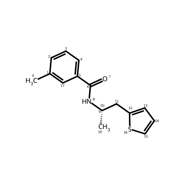 Cc1cccc(C(=O)N[C@@H](C)Cc2cccs2)c1